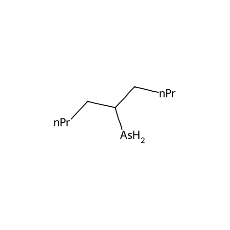 CCCCC([AsH2])CCCC